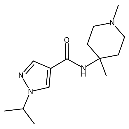 CC(C)n1cc(C(=O)NC2(C)CCN(C)CC2)cn1